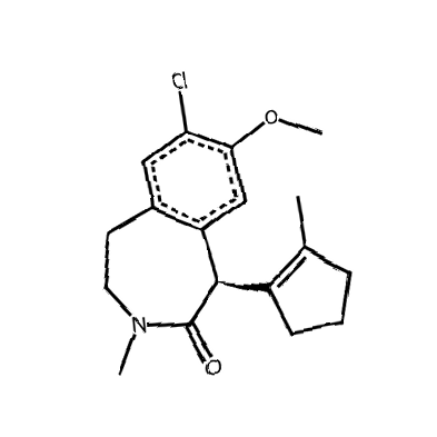 COc1cc2c(cc1Cl)CCN(C)C(=O)[C@@H]2C1=C(C)CCC1